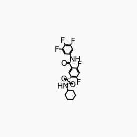 O=C(Nc1cc(F)c(F)c(F)c1)c1cc(S(=O)(=O)NC2CCCCC2)c(F)cc1F